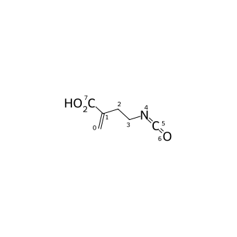 C=C(CCN=C=O)C(=O)O